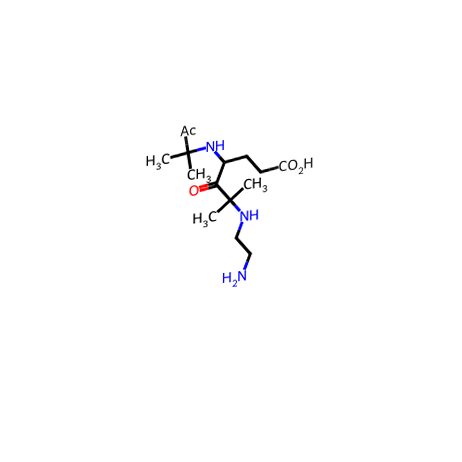 CC(=O)C(C)(C)NC(CCC(=O)O)C(=O)C(C)(C)NCCN